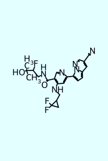 CC(C)(O)C(F)CNC(=O)c1cnc(-c2ccc3cc(C#N)cnn23)cc1NCC1CC1(F)F